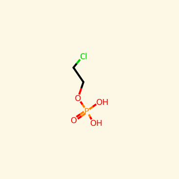 O=P(O)(O)OCCCl